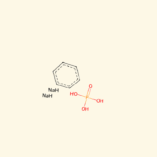 O=P(O)(O)O.[NaH].[NaH].c1ccccc1